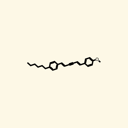 CCCCCCc1ccc(C=CC#CC=Cc2ccc(OC)cc2)cc1